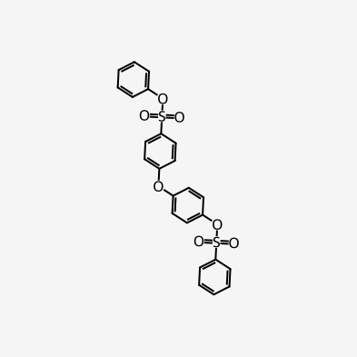 O=S(=O)(Oc1ccc(Oc2ccc(S(=O)(=O)Oc3ccccc3)cc2)cc1)c1ccccc1